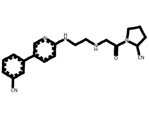 N#Cc1cccc(-c2ccc(NCCNCC(=O)N3CCCC3C#N)nc2)c1